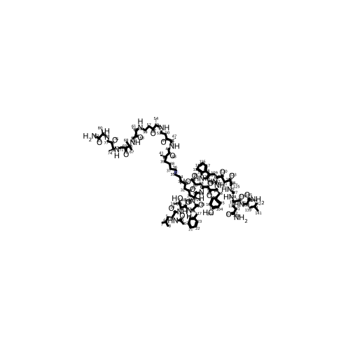 CC(=O)N[C@@H](CC(C)C)C(=O)N[C@H](C(=O)N[C@@H](Cc1ccccc1)C(=O)N[C@](C)(CCCCCC/C=C/CCC[C@@H](C)C(=O)CN[C@@H](C)C(=O)CCN[C@@H](C)C(=O)CCN[C@@H](C)C(=O)CNC(C)(C)C(=O)CN[C@@H](C)C(=O)CN[C@H](C)C(N)=O)C(=O)N[C@@H](CCC(=O)O)C(=O)C(=O)[C@H](Cc1ccc(O)cc1)NN[C@@H](Cc1c[nH]c2ccccc12)C(=O)CC(=O)[C@H](C)NCN[C@@H](CCC(N)=O)C(=O)N[C@@H](CC(C)C)C(N)=O)[C@@H](C)O